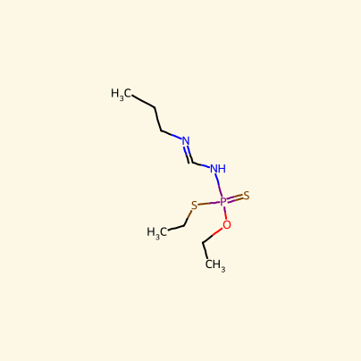 CCC/N=C/NP(=S)(OCC)SCC